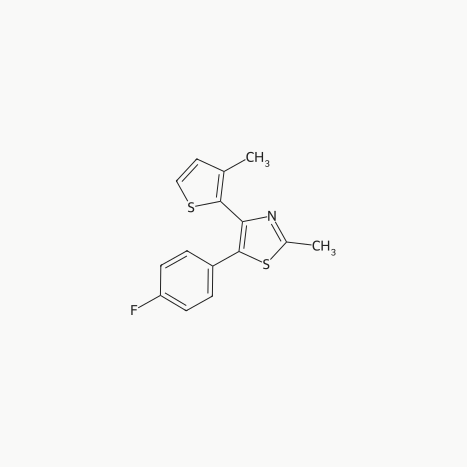 Cc1nc(-c2sccc2C)c(-c2ccc(F)cc2)s1